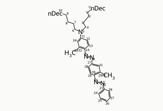 CCCCCCCCCCCCCCN(CCCCCCCCCCCCCC)c1ccc(/N=N/c2ccc(/N=N/c3ccccc3)c(C)c2)c(C)c1